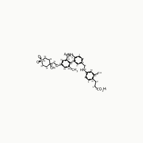 CC(=O)Nc1ccc(CNc2ccc(CCC(=O)O)c(F)c2)cc1-c1c(C)cc(OCC2(O)CCS(=O)(=O)CC2)cc1C